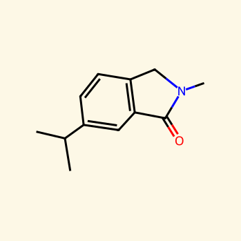 CC(C)c1ccc2c(c1)C(=O)N(C)C2